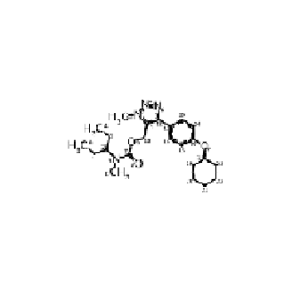 CCC(CC)N(C)C(=O)OCc1c(-c2ccc(OC3CCCCC3)cc2)nnn1C